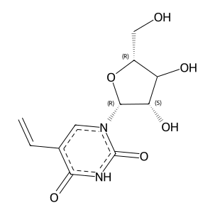 C=Cc1cn([C@@H]2O[C@H](CO)C(O)[C@@H]2O)c(=O)[nH]c1=O